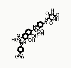 O=C1NC(=O)C(/N=N/c2ccc(/N=N/c3ccc4cc(S(=O)(=O)O)c(/N=N/c5ccc([N+](=O)[O-])cc5)c(O)c4c3O)c(S(=O)(=O)O)c2)C(=O)N1